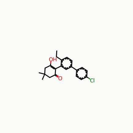 CCc1ccc(-c2ccc(Cl)cc2)cc1C1=C(O)CC(C)(C)CC1=O